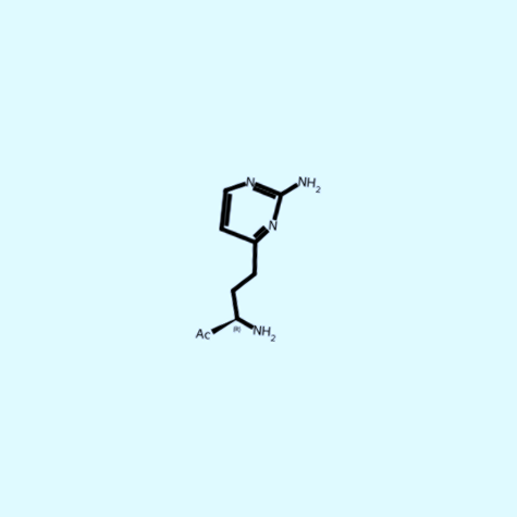 CC(=O)[C@H](N)CCc1ccnc(N)n1